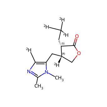 [2H]c1nc(C)n(C)c1C[C@@]1([2H])COC(=O)[C@H]1CC([2H])([2H])[2H]